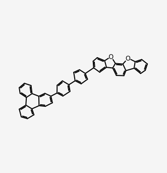 c1ccc2c(c1)oc1c2ccc2c3cc(-c4ccc(-c5ccc(-c6ccc7c8ccccc8c8ccccc8c7c6)cc5)cc4)ccc3oc21